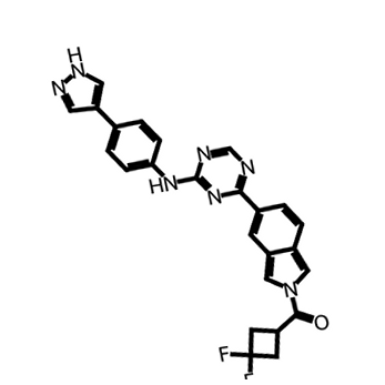 O=C(C1CC(F)(F)C1)n1cc2ccc(-c3ncnc(Nc4ccc(-c5cn[nH]c5)cc4)n3)cc2c1